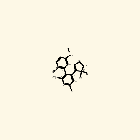 COc1ccc(F)c(-c2c(F)cc(C)cc2C2=CCCC2(C)C)c1